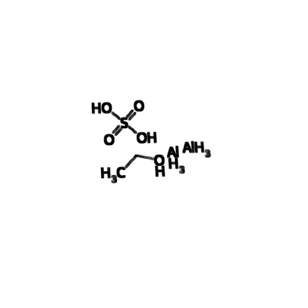 CCO.O=S(=O)(O)O.[AlH3].[AlH3]